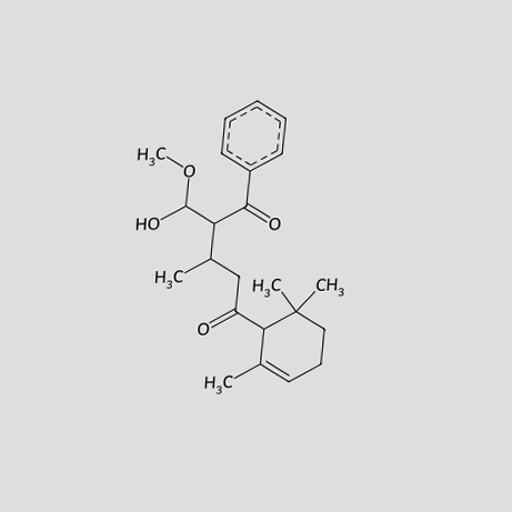 COC(O)C(C(=O)c1ccccc1)C(C)CC(=O)C1C(C)=CCCC1(C)C